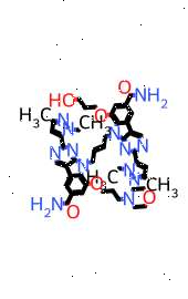 CCn1nc(C)cc1-c1ncc2c3cc(C(N)=O)cc(OCCCO)c3n(C/C=C/Cn3c4nc(-c5cc(C)nn5CC)ncc4c4cc(C(N)=O)cc(OCCCN5CCOCC5)c43)c2n1